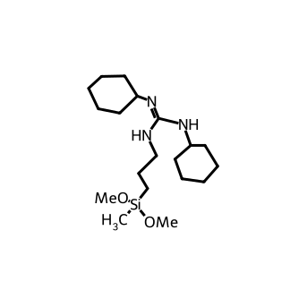 CO[Si](C)(CCCN/C(=N\C1CCCCC1)NC1CCCCC1)OC